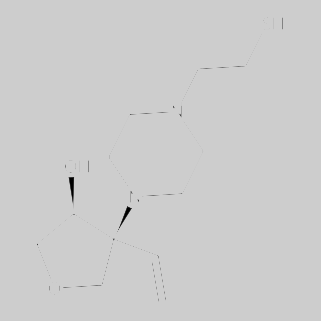 C=C[C@]1(N2CCN(CCS)CC2)COC[C@H]1O